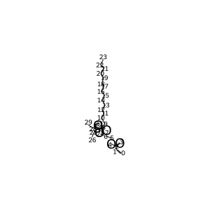 C=CC(=O)OCCO[Si](CCCCCCCCCCCCCCC)(OCC)OCC